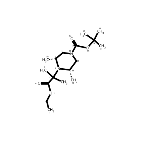 CCOC(=O)C(C)(C)N1[C@H](C)CN(C(=O)OC(C)(C)C)C[C@@H]1C